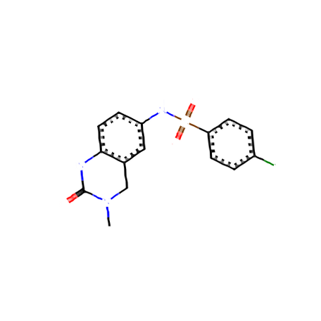 CN1Cc2cc(NS(=O)(=O)c3ccc(F)cc3)ccc2NC1=O